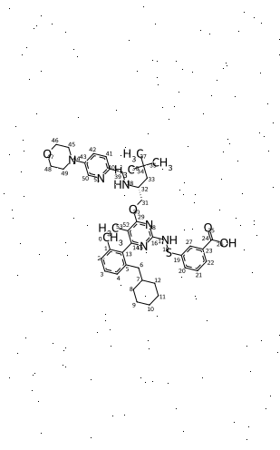 Cc1cccc(CC2CCCCC2)c1-c1nc(NSc2cccc(C(=O)O)c2)nc(OC[C@@H](CC(C)(C)C)NCc2ccc(N3CCOCC3)cn2)c1C